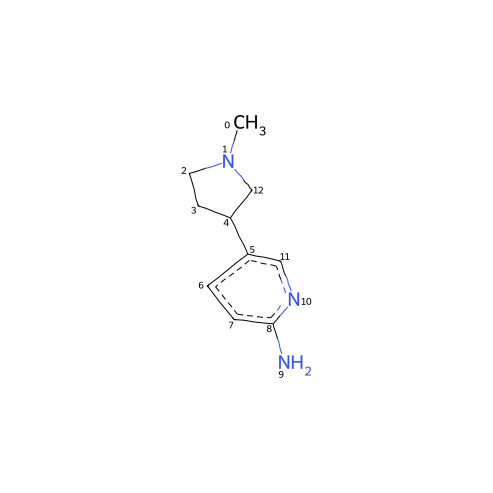 CN1CCC(c2ccc(N)nc2)C1